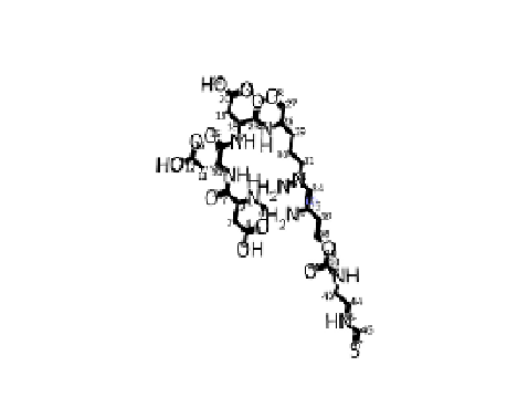 CNC(CC(=O)O)C(=O)N[C@H](CC(=O)O)C(=O)NC(CC(=O)O)C(=O)NC(C=O)CCCN(N)/C=C(\N)CCOC(=O)NCCNC=S